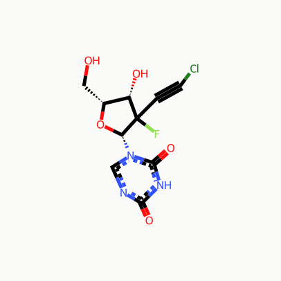 O=c1ncn([C@@H]2O[C@H](CO)[C@H](O)C2(F)C#CCl)c(=O)[nH]1